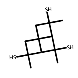 CC1(S)CC23CC(C)(S)C2C(C)(S)C13